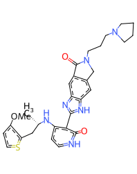 COc1ccsc1C[C@H](C)Nc1cc[nH]c(=O)c1-c1nc2cc3c(cc2[nH]1)CN(CCCN1CCCC1)C3=O